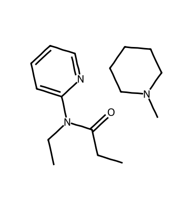 CCC(=O)N(CC)c1ccccn1.CN1CCCCC1